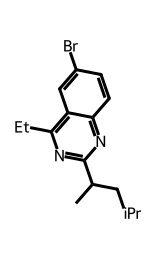 CCc1nc(C(C)CC(C)C)nc2ccc(Br)cc12